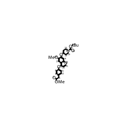 COC(=O)Cc1ccc(Oc2ccnc3cc(OC4CCN(C(=O)OC(C)(C)C)CC4)c(OC)cc23)cc1